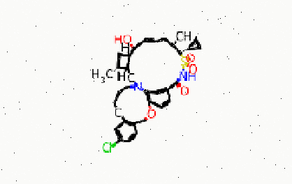 C[C@@H]1C[C@@H]2[C@@H]1CN1CCCCc3cc(Cl)ccc3COc3ccc(cc31)C(=O)NS(=O)(=O)[C@@H](C1CC1)[C@H](C)C/C=C/[C@@H]2O